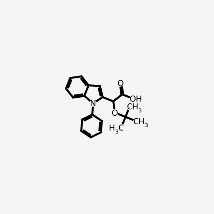 CC(C)(C)OC(C(=O)O)c1cc2ccccc2n1-c1ccccc1